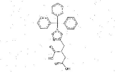 O=C(O)CC(Cc1cn(C(c2ccccc2)(c2ccccc2)c2ccccc2)cn1)C(=O)O